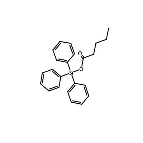 [CH2]CCCC(=O)O[Si](c1ccccc1)(c1ccccc1)c1ccccc1